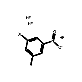 Cc1cc(Br)cc([N+](=O)[O-])c1.F.F.F